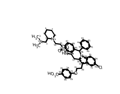 CN(C)CC1CCCCN1CCS(=O)(=O)NCCc1c(CCOc2ccc(C(=O)O)cc2)c2cc(Cl)ccc2n1C(c1ccccc1)c1ccccc1